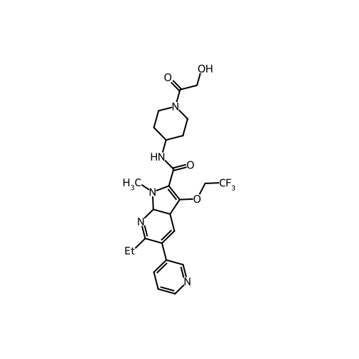 CCC1=NC2C(C=C1c1cccnc1)C(OCC(F)(F)F)=C(C(=O)NC1CCN(C(=O)CO)CC1)N2C